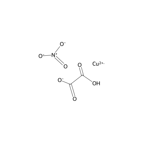 O=C([O-])C(=O)O.O=[N+]([O-])[O-].[Cu+2]